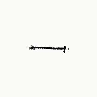 O=P(O)(O)OCCCCCCCCCCCCCCCCCCCCCCCCCCCCCCNC(=S)S